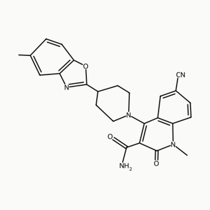 Cc1ccc2oc(C3CCN(c4c(C(N)=O)c(=O)n(C)c5ccc(C#N)cc45)CC3)nc2c1